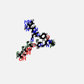 N#CCC1(n2cc(-c3ncnc4[nH]ccc34)cn2)CN([C@H]2CC[C@@H](Oc3cc(CN4CC[C@H](F)C4)nc(C(F)(F)F)n3)CC2)C1.O=C(O)C(F)(F)F.O=C(O)C(F)(F)F.O=C(O)C(F)(F)F